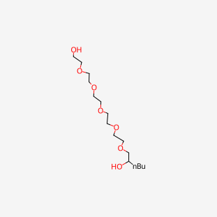 CCCCC(O)COCCOCCOCCOCCOCCO